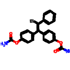 CCC(=C(c1ccc(OC(N)=O)cc1)c1ccc(OC(N)=O)cc1)c1ccccc1